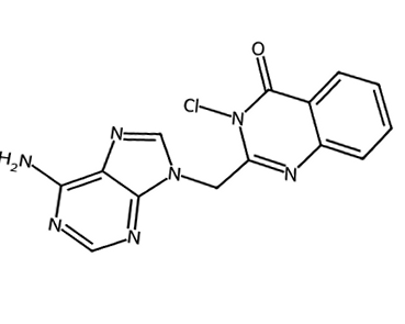 Nc1ncnc2c1ncn2Cc1nc2ccccc2c(=O)n1Cl